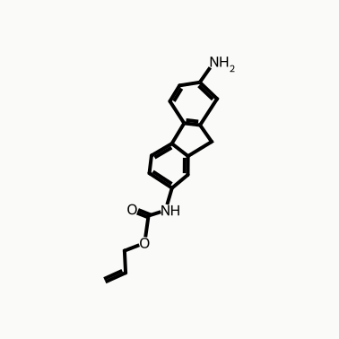 C=CCOC(=O)Nc1ccc2c(c1)Cc1cc(N)ccc1-2